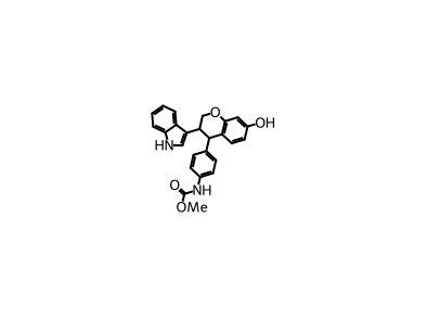 COC(=O)Nc1ccc(C2c3ccc(O)cc3OCC2c2c[nH]c3ccccc23)cc1